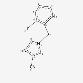 N#Cc1cn(Cc2ncccc2I)cn1